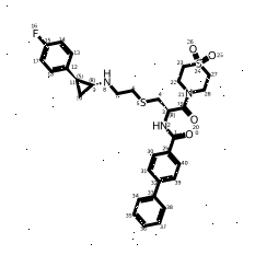 O=C(N[C@@H](CSCCN[C@@H]1C[C@H]1c1ccc(F)cc1)C(=O)N1CCS(=O)(=O)CC1)c1ccc(-c2ccccc2)cc1